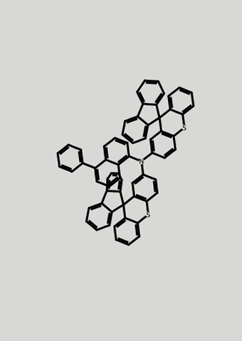 c1ccc(-c2cccc3c(N(c4ccc5c(c4)C4(c6ccccc6S5)c5ccccc5-c5ccccc54)c4ccc5c(c4)C4(c6ccccc6S5)c5ccccc5-c5ccccc54)cccc23)cc1